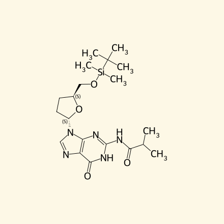 CC(C)C(=O)Nc1nc2c(ncn2[C@@H]2CC[C@@H](CO[Si](C)(C)C(C)(C)C)O2)c(=O)[nH]1